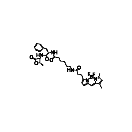 CC1=CC(C)=[N+]2C1=Cc1ccc(CCC(=O)NCCCCCC(=O)N[C@H](Cc3ccccc3)C(=O)N[C@@H]3C(=O)O[C@@H]3C)n1[B-]2(F)F